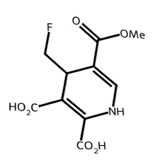 COC(=O)C1=CNC(C(=O)O)=C(C(=O)O)C1CF